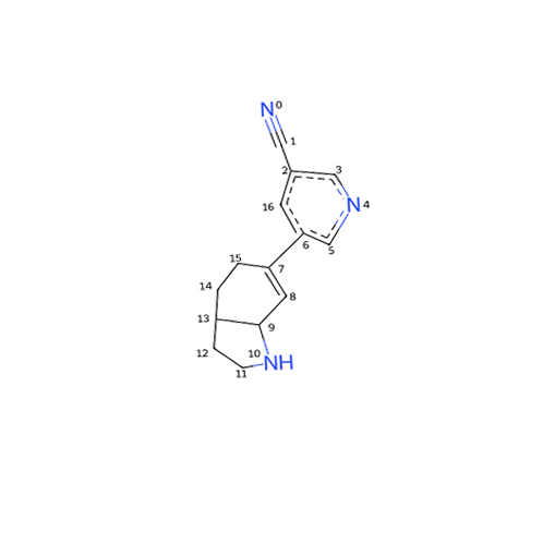 N#Cc1cncc(C2=CC3NCCC3CC2)c1